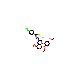 CCOc1ccc(OCC)c(-n2c3c(cc(-c4nc(-c5ccc(Cl)cc5)cs4)c2=O)C(=O)CCC3)c1